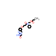 CCCC(=O)OCCN(C(=O)CCCOc1ccc2c(c1)CN1CC(=O)NC1=N2)C1CCCCC1